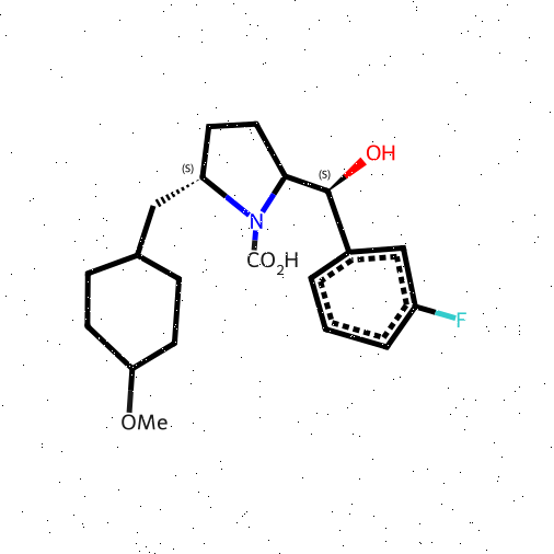 COC1CCC(C[C@@H]2CCC([C@@H](O)c3cccc(F)c3)N2C(=O)O)CC1